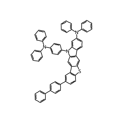 c1ccc(-c2ccc(-c3ccc4sc5cc6c7ccc(N(c8ccccc8)c8ccccc8)cc7n(-c7ccc(N(c8ccccc8)c8ccccc8)cc7)c6cc5c4c3)cc2)cc1